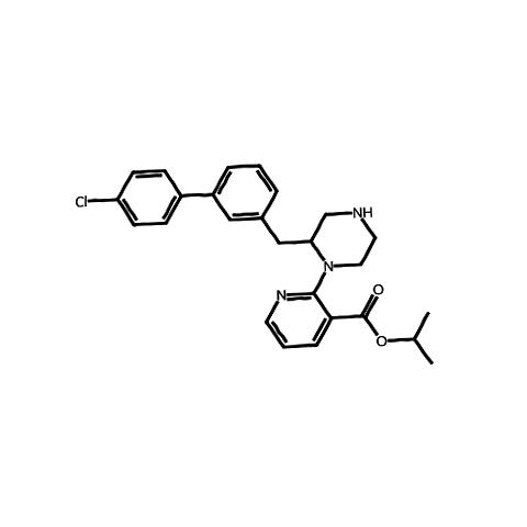 CC(C)OC(=O)c1cccnc1N1CCNCC1Cc1cccc(-c2ccc(Cl)cc2)c1